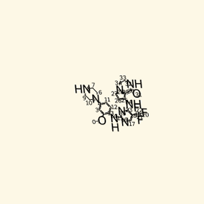 COc1cc(N2CCNCC2)ccc1Nc1ncc(C(F)(F)F)c(Nc2ccn3c2C(=O)NCC3)n1